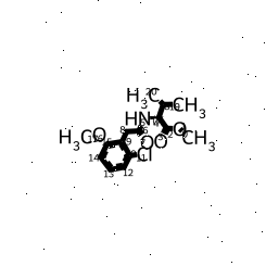 COC(=O)[C@@H](NC(=O)Cc1c(Cl)cccc1OC)C(C)C